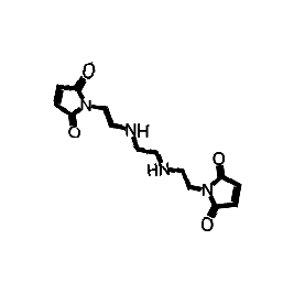 O=C1C=CC(=O)N1CCNCCNCCN1C(=O)C=CC1=O